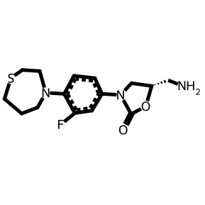 NC[C@H]1CN(c2ccc(N3CCCSCC3)c(F)c2)C(=O)O1